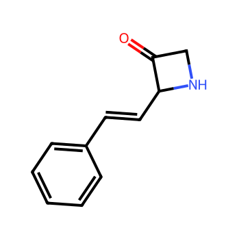 O=C1CNC1C=Cc1ccccc1